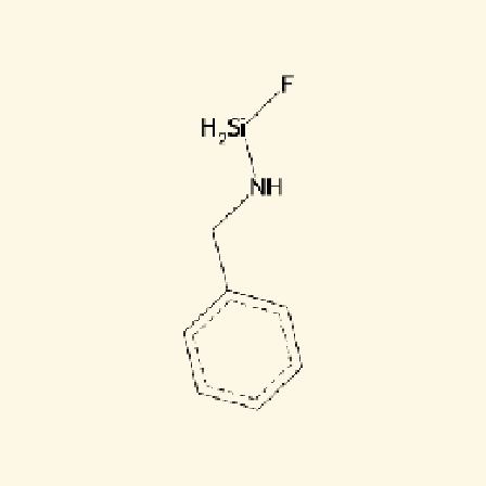 F[SiH2]NCc1ccccc1